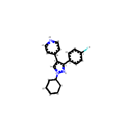 Fc1ccc(-c2nn(C3CCCCC3)cc2-c2ccncc2)cc1